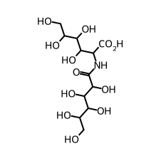 O=C(NC(C(=O)O)C(O)C(O)C(O)CO)C(O)C(O)C(O)C(O)CO